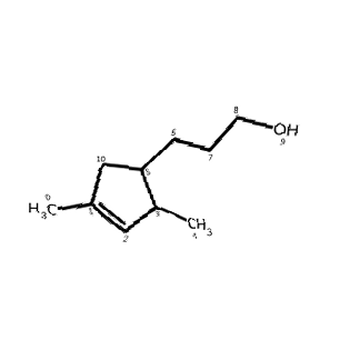 CC1=CC(C)C(CCCO)C1